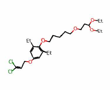 CCOC(CCOCCCCCOc1c(CC)cc(OCC=C(Cl)Cl)cc1CC)OCC